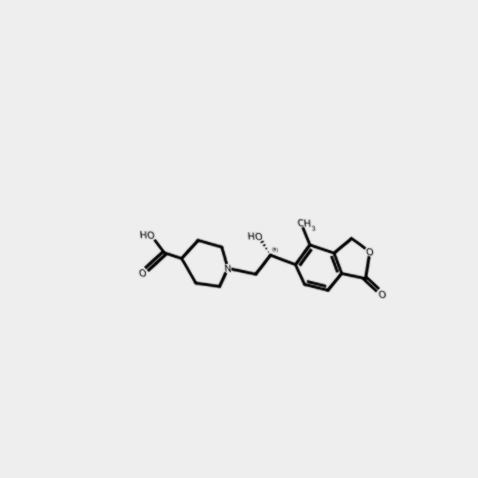 Cc1c([C@@H](O)CN2CCC(C(=O)O)CC2)ccc2c1COC2=O